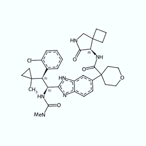 CNC(=O)N[C@H](c1nc2ccc(C3(C(=O)N[C@H]4C(=O)NCC45CCC5)CCOCC3)cc2[nH]1)[C@H](c1ccccc1Cl)C1(C)CC1